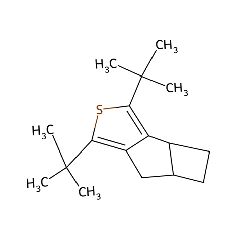 CC(C)(C)c1sc(C(C)(C)C)c2c1CC1CCC21